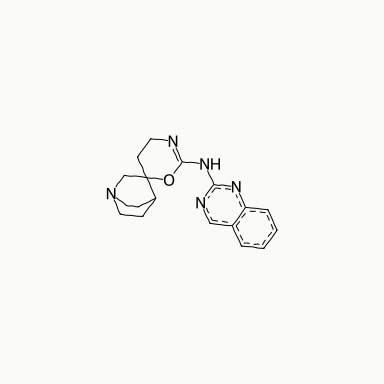 c1ccc2nc(NC3=NCCC4(CN5CCC4CC5)O3)ncc2c1